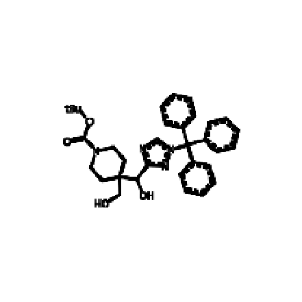 CC(C)(C)OC(=O)N1CCC(CO)(C(O)c2ncn(C(c3ccccc3)(c3ccccc3)c3ccccc3)n2)CC1